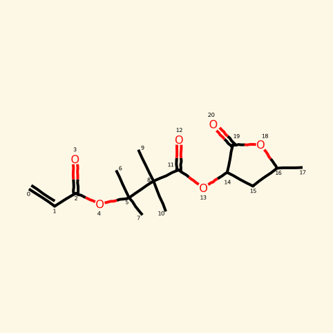 C=CC(=O)OC(C)(C)C(C)(C)C(=O)OC1CC(C)OC1=O